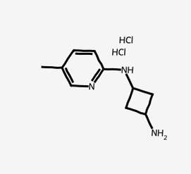 Cc1ccc(NC2CC(N)C2)nc1.Cl.Cl